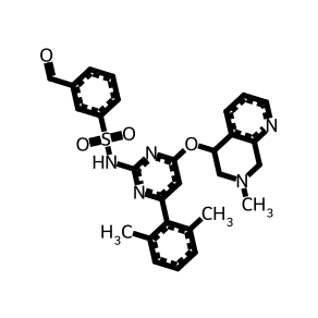 Cc1cccc(C)c1-c1cc(OC2CN(C)Cc3ncccc32)nc(NS(=O)(=O)c2cccc(C=O)c2)n1